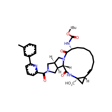 Cc1cccc(-c2cccc(C(=O)N3C[C@H]4CN5C(=O)[C@H](NC(=O)OC(C)(C)C)CCCCC/C=C\[C@@H]6C[C@@]6(C(=O)O)NC(=O)[C@@H]5[C@H]4C3)n2)c1